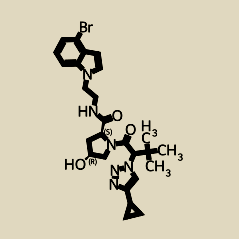 CC(C)(C)C(C(=O)N1C[C@H](O)C[C@H]1C(=O)NCCn1ccc2c(Br)cccc21)n1cc(C2CC2)nn1